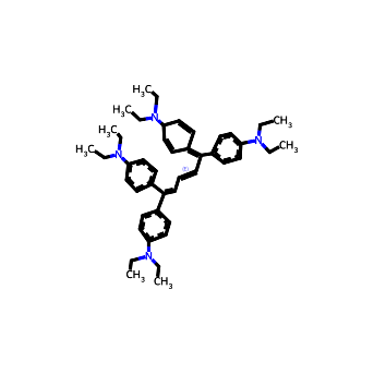 CCN(CC)c1ccc(C(=C/C=C/C(=C2C=CC(N(CC)CC)C=C2)c2ccc(N(CC)CC)cc2)c2ccc(N(CC)CC)cc2)cc1